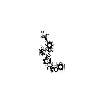 Cn1nnnc1-n1c(SCc2cccc(NC(=O)C(F)(F)Oc3ccccc3)n2)nc2ccc(C#C[Si](C)(C)C)cc21